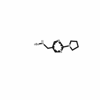 CCCCNCc1cnc(N2CCCC2)nc1